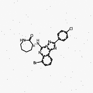 O=C1NCCCC[C@H]1Nc1nc2c(Br)cccc2c2nc(-c3ccc(Cl)cc3)nn12